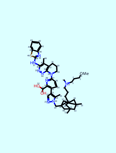 COCCCN(C)CCCC12CC3(C)CC(C)(C1)CC(Cn1ncc(-c4ccc(N5CCCc6c5nnc(Nc5nc7ccccc7s5)c6C)nc4C(O)O)c1C)(C3)C2